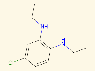 CCNc1ccc(Cl)cc1NCC